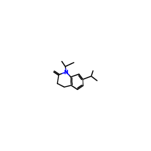 C=C1CCc2ccc(C(C)C)cc2N1C(C)C